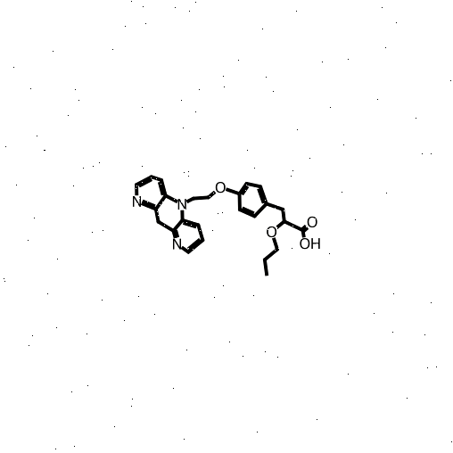 CCCOC(Cc1ccc(OCCN2c3cccnc3Cc3ncccc32)cc1)C(=O)O